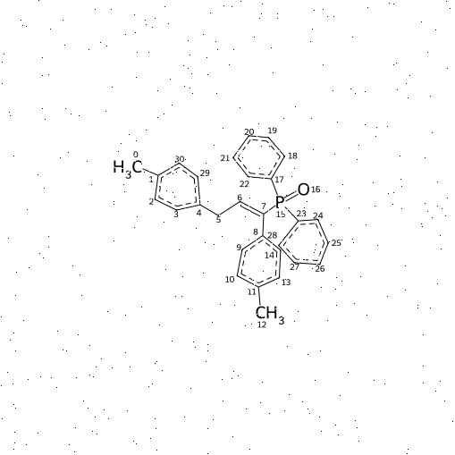 Cc1ccc(CC=C(c2ccc(C)cc2)P(=O)(c2ccccc2)c2ccccc2)cc1